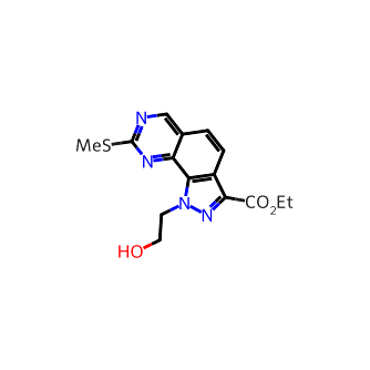 CCOC(=O)c1nn(CCO)c2c1ccc1cnc(SC)nc12